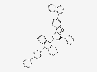 C1=Cc2c(c(-c3cc(-c4ccccc4)c4oc5cc(-c6cccc7ccccc67)ccc5c4c3)c3ccccc3c2-c2ccc(-c3ccccc3)cc2)CC1